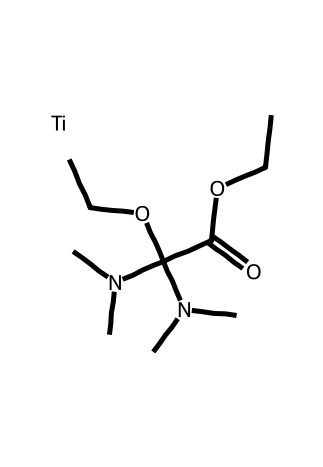 CCOC(=O)C(OCC)(N(C)C)N(C)C.[Ti]